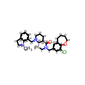 CC(C)CN(Cc1cc(Cl)c2c(c1)CCCCO2)C(=O)[C@@H]1CCCN(Cc2cccc3c2N(C)CC3)C1